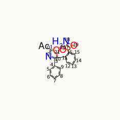 CC(=O)c1nc(-c2ccccc2)c(-c2ccccc2S(N)(=O)=O)o1